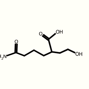 NC(=O)CCCC(CCO)C(=O)O